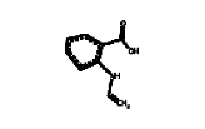 C=CNc1ccccc1C(=O)O